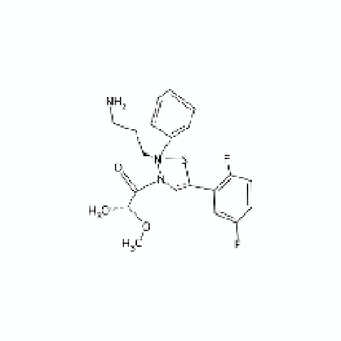 CO[C@H](C)C(=O)N1C=C(c2cc(F)ccc2F)S[N@@+]1(CCCN)c1ccccc1